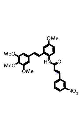 COc1ccc(NC(=O)/C=C/c2cccc([N+](=O)[O-])c2)c(C=Cc2cc(OC)c(OC)c(OC)c2)c1